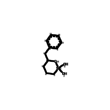 O[Si]1(O)CCCC(Cc2ccccc2)O1